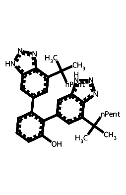 CCCCCC(C)(C)c1cc(-c2cccc(O)c2-c2cc(C(C)(C)CCCCC)c3nn[nH]c3c2)cc2[nH]nnc12